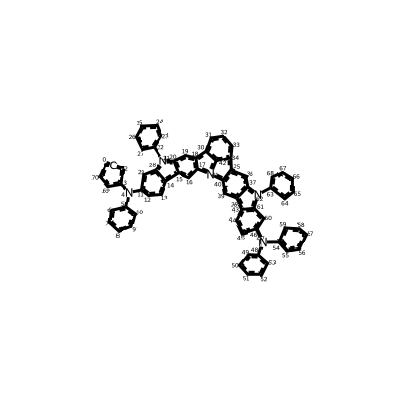 c1ccc(N(c2ccccc2)c2ccc3c4cc5c(cc4n(-c4ccccc4)c3c2)c2cccc3c4cc6c(cc4n5c23)c2ccc(N(c3ccccc3)c3ccccc3)cc2n6-c2ccccc2)cc1